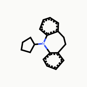 c1ccc2c(c1)CCc1ccccc1N2C1CCCC1